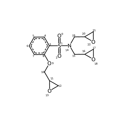 O=S(=O)(c1ccccc1OCC1CO1)N(CC1CO1)CC1CO1